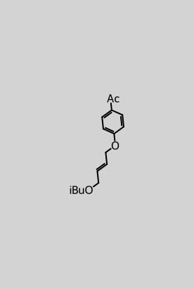 CC(=O)c1ccc(OC/C=C/COCC(C)C)cc1